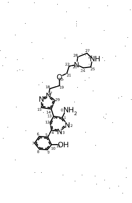 Nc1nnc(-c2ccccc2O)cc1-c1cnn(CCOCCN2CCNCC2)c1